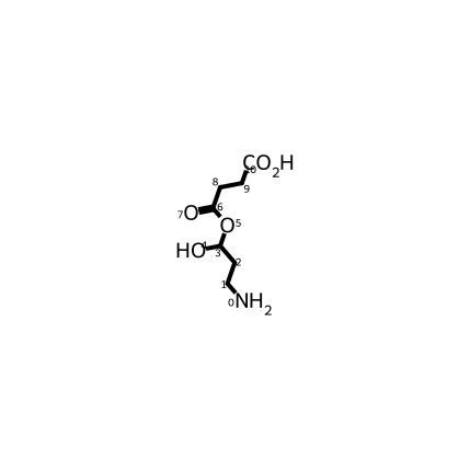 NCCC(O)OC(=O)CCC(=O)O